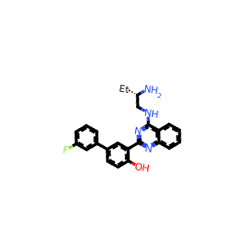 CC[C@H](N)CNc1nc(-c2cc(-c3cccc(F)c3)ccc2O)nc2ccccc12